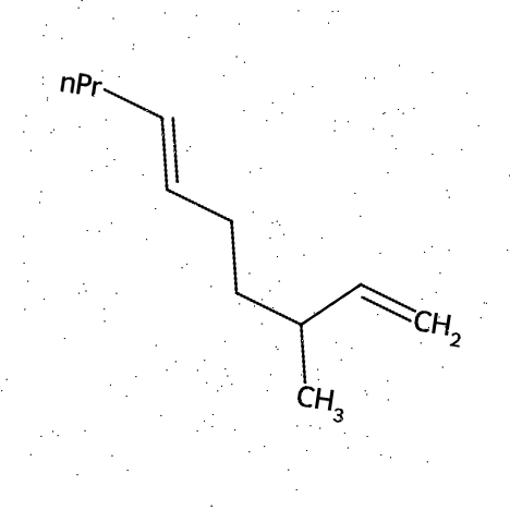 C=CC(C)CCC=CCCC